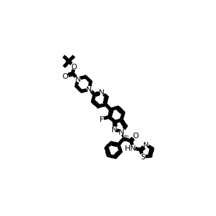 CC(C)(C)OC(=O)N1CCN(c2ccc(-c3ccc4cn([C@@H](C(=O)Nc5nccs5)c5ccccc5)nc4c3F)cn2)CC1